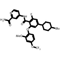 COc1cc(OC(F)(F)F)ccc1Oc1cc(C2CCC(C(C)(C)C)CC2)cc(F)c1C(=O)Nc1ccnc(C(N)=O)c1